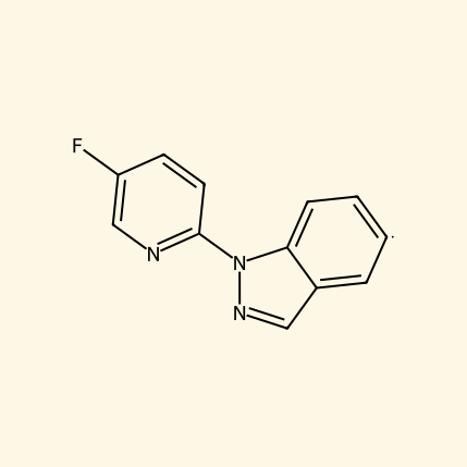 Fc1ccc(-n2ncc3c[c]ccc32)nc1